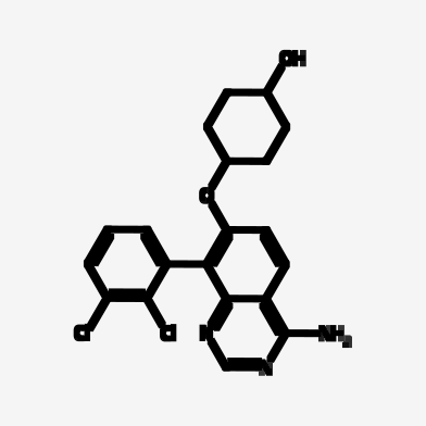 Nc1ncnc2c(-c3cccc(Cl)c3Cl)c(OC3CCC(O)CC3)ccc12